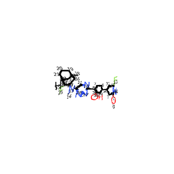 COc1cc(-c2ccc(-c3ncc(N(C)[C@@H]4C[C@@]5(C)CCC[C@H](C5)[C@@H]4F)nn3)c(O)c2)cc(F)n1